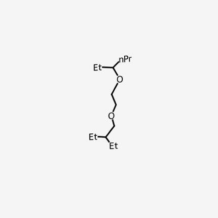 CCCC(CC)OCCOCC(CC)CC